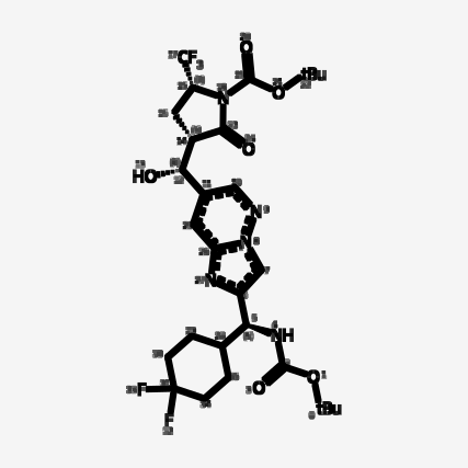 CC(C)(C)OC(=O)N[C@H](c1cn2ncc([C@H](O)[C@@H]3C[C@H](C(F)(F)F)N(C(=O)OC(C)(C)C)C3=O)cc2n1)C1CCC(F)(F)CC1